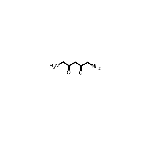 NCC(=O)CC(=O)CN